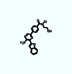 CCN(CCO)C(=O)c1ccc(-c2cnc(N)c(-c3cc4ccccc4o3)n2)cc1